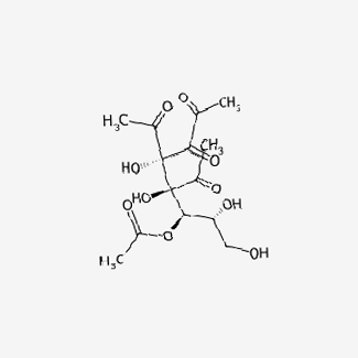 CC(=O)O[C@H]([C@H](O)CO)[C@@](O)(C(C)=O)[C@@](O)(C(C)=O)C(=O)C(C)=O